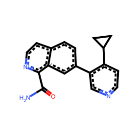 NC(=O)c1n[c]cc2ccc(-c3cnccc3C3CC3)cc12